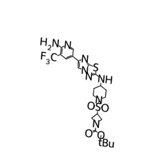 CC(C)(C)OC(=O)N1CC(S(=O)(=O)N2CCC(Nc3nn4cc(-c5cnc(N)c(C(F)(F)F)c5)nc4s3)CC2)C1